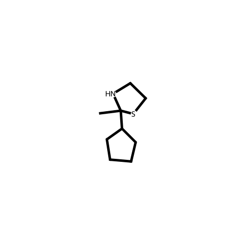 CC1(C2CCCC2)NCCS1